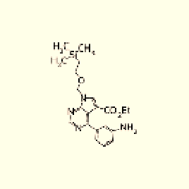 CCOC(=O)c1cn(COCC[Si](C)(C)C)c2ncnc(-c3cccc(N)c3)c12